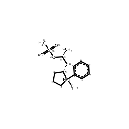 B[PH]1(c2ccccc2)CCC[C@@H]1C[C@@H](C)OS(C)(=O)=O